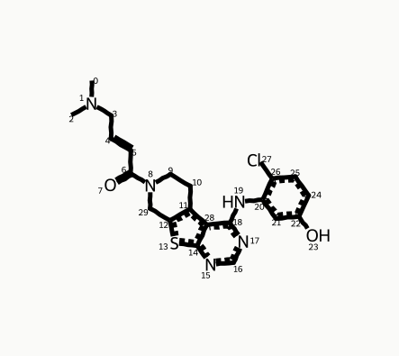 CN(C)CC=CC(=O)N1CCc2c(sc3ncnc(Nc4cc(O)ccc4Cl)c23)C1